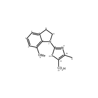 COc1cccc2c1N(c1nc(C)c(C(=O)O)s1)CC2